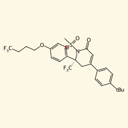 CC(C)(C)c1ccc(C2=CC(=O)N(S(C)(=O)=O)[C@@](c3ccc(OCCCC(F)(F)F)cc3)(C(F)(F)F)C2)cc1